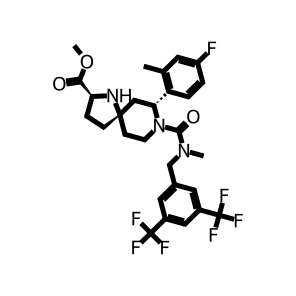 COC(=O)[C@@H]1CC[C@@]2(CCN(C(=O)N(C)Cc3cc(C(F)(F)F)cc(C(F)(F)F)c3)[C@@H](c3ccc(F)cc3C)C2)N1